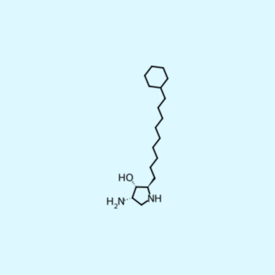 N[C@H]1CN[C@H](CCCCCCCCCC2CCCCC2)[C@H]1O